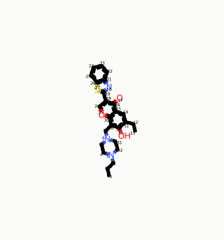 CCCN1CCN(Cc2c(O)c(CC)cc3c(=O)c(-c4nc5ccccc5s4)coc23)CC1